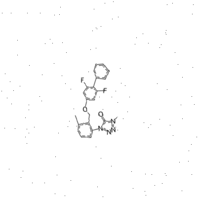 Cc1cccc(-n2nnn(C)c2=O)c1COc1cc(F)c(-c2ccccc2)c(F)c1